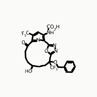 O=C(O)Nc1cc(C(F)(F)F)c2nc1-c1nnc(o1)C(OCc1ccccc1)(C(F)(F)F)CCC(O)CCCC2=O